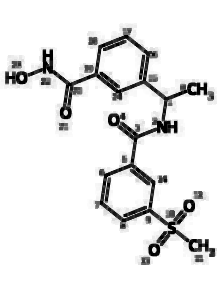 CC(NC(=O)c1cccc(S(C)(=O)=O)c1)c1cccc(C(=O)NO)c1